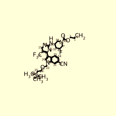 C=CCOC(=O)N1C[C@@H](F)C[C@H](Nc2ncc(C(F)(F)F)c(-c3cn(COCC[Si](C)(C)C)c4cc(C#N)ccc34)n2)C1